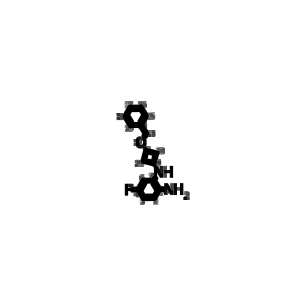 Nc1ccc(F)cc1N[C@H]1C[C@@H](OCc2ccccc2)C1